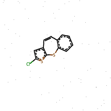 Clc1cc2c(s1)Sc1ccccc1C=C2